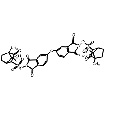 CC12CCC(C(S(=O)(=O)ON3C(=O)c4ccc(Oc5ccc6c(c5)C(=O)N(OS(=O)(=O)C5C(=O)C7(C)CCC5C7(C)C)C6=O)cc4C3=O)C1=O)C2(C)C